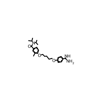 Cc1cc(C(=O)N(C(C)C)C(C)C)ccc1OCCCCCOc1ccc(C(=N)N)cc1